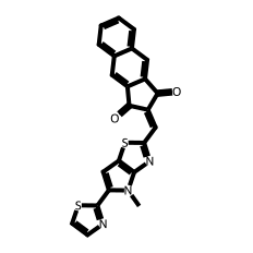 Cn1c(-c2nccs2)cc2sc(C=C3C(=O)c4cc5ccccc5cc4C3=O)nc21